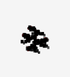 NCCNC(=O)CCN(CCNC(=O)CCN(CCCCN(CCC(=O)NCCN(CCC(=O)NCCN)CCC(=O)NCCNC12CC3CC(CC(C3)C1)C2)CCC(=O)NCCN(CCC(=O)NCCN)CCC(=O)NCCNC12CC3CC(CC(C3)C1)C2)CCC(=O)NCCN(CCC(=O)NCCN)CCC(=O)NCCNC12CC3CC(CC(C3)C1)C2)CCC(=O)NCCNC12CC3CC(CC(C3)C1)C2